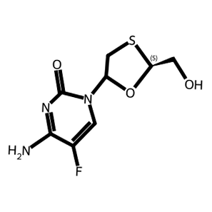 Nc1nc(=O)n(C2CS[C@@H](CO)O2)cc1F